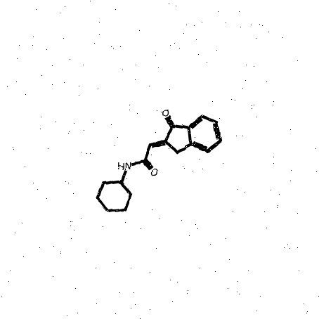 O=C(/C=C1\Cc2ccccc2C1=O)NC1CCCCC1